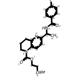 COCCOC(=O)N1CCCc2nc(C(C)NC(=O)c3ccc(F)cc3)ccc21